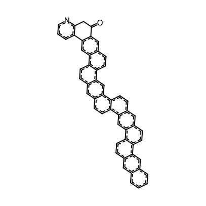 O=C1Cc2ncccc2-c2cc3c(ccc4c5cc6c(ccc7c8cc9c(ccc%10c%11cc%12ccccc%12cc%11ccc9%10)cc8ccc67)cc5ccc34)cc21